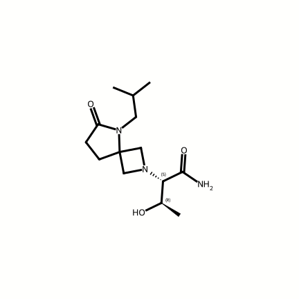 CC(C)CN1C(=O)CCC12CN([C@H](C(N)=O)[C@@H](C)O)C2